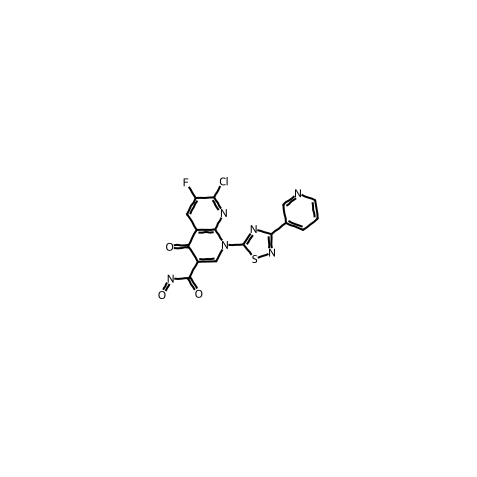 O=NC(=O)c1cn(-c2nc(-c3cccnc3)ns2)c2nc(Cl)c(F)cc2c1=O